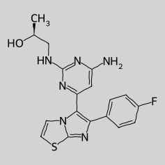 C[C@H](O)CNc1nc(N)cc(-c2c(-c3ccc(F)cc3)nc3sccn23)n1